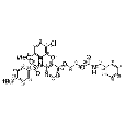 COc1ccc(Cl)c(Oc2c(NS(=O)(=O)c3ccc(C(C)(C)C)cc3)ncnc2OCCOC(=O)NCc2ccccc2)c1